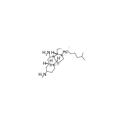 CC(C)CCC[C@@H](C)[C@H]1CC[C@H]2[C@@H]3C(N)C[C@H]4CC(N)CC[C@]4(C)[C@H]3CC[C@]12C